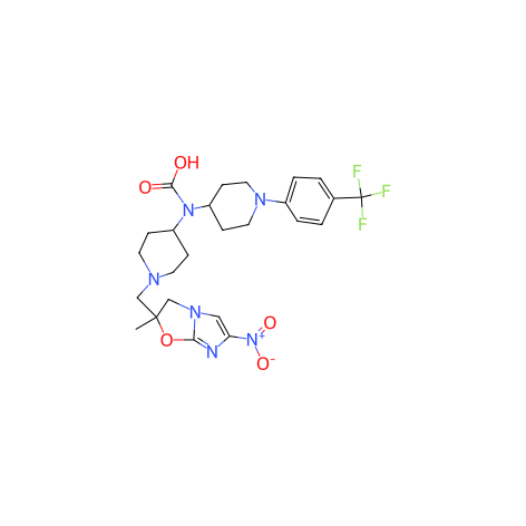 CC1(CN2CCC(N(C(=O)O)C3CCN(c4ccc(C(F)(F)F)cc4)CC3)CC2)Cn2cc([N+](=O)[O-])nc2O1